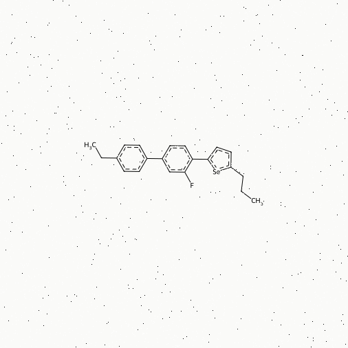 CCCc1ccc(-c2ccc(-c3ccc(CC)cc3)cc2F)[se]1